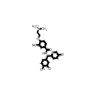 CN(C)CCOc1ccc(C(=O)N[C@@H](c2ccc(Cl)c(Cl)c2)c2ccc(Cl)cn2)cc1C#N